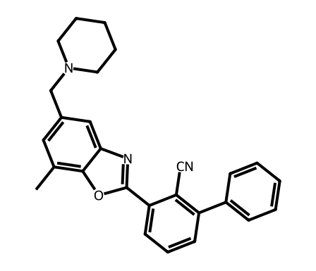 Cc1cc(CN2CCCCC2)cc2nc(-c3cccc(-c4ccccc4)c3C#N)oc12